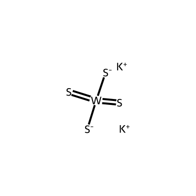 [K+].[K+].[S]=[W](=[S])([S-])[S-]